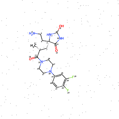 C[C@H](C[C@]1(CCN)NC(O)NC1=O)C(=O)N1CCN(c2ccc(F)c(F)c2)CC1